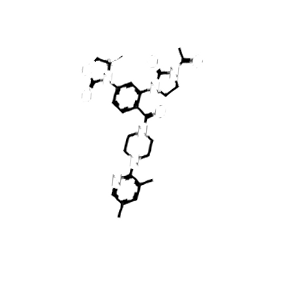 CC(=O)N1CCN(c2cc(N3C(=O)OC[C@H]3C)ccc2C(=O)N2CCN(c3ncc(C)cc3C)CC2)C1=O